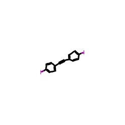 Ic1ccc(C#Cc2ccc(I)cc2)cc1